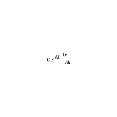 [Al].[Al].[Ge].[Li]